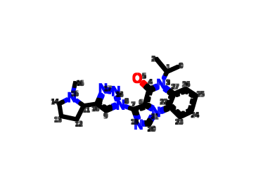 CC(C)n1c(=O)c2c(-n3cc(C4CCCN4C)nn3)ncn2c2ccccc21